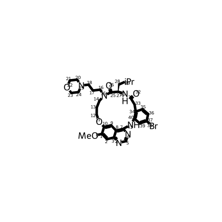 COc1cc2ncnc3c2cc1OCCCN(CCCN1CCOCC1)C(=O)[C@@H](CC(C)C)NC(=O)Cc1ccc(Br)cc1N3